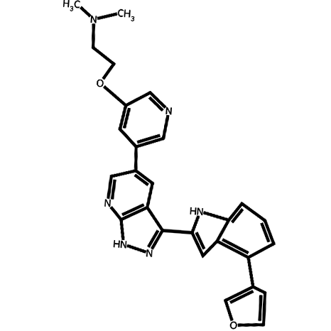 CN(C)CCOc1cncc(-c2cnc3[nH]nc(-c4cc5c(-c6ccoc6)cccc5[nH]4)c3c2)c1